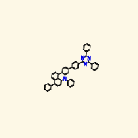 c1ccc(-c2nc(-c3ccccc3)nc(-c3ccc(-c4ccc5c(c4)N(c4ccccc4)c4ccc(-c6ccccc6)c6cccc-5c46)cc3)n2)cc1